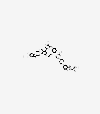 C=CC(=O)Nc1cc(Nc2nc(-c3ccnc(N4CCn5c(cc6c5CC(C)(C)C6)C4=O)c3CO)cnc2OC)ccc1N1CCN(C2CCN(c3ccc(F)c(C(C)(C)NP(=O)(O)O)c3)CC2)C[C@@H]1C